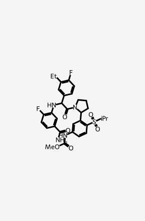 CCc1cc(C(Nc2cc(C(N)=O)ccc2F)C(=O)N2CCCC2c2cc(NC(=O)OC)ccc2S(=O)(=O)C(C)C)ccc1F